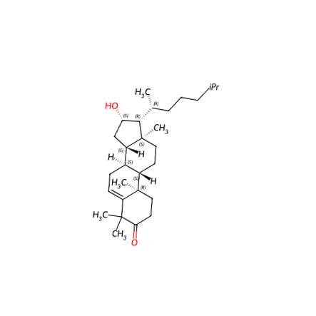 CC(C)CCC[C@@H](C)[C@H]1[C@@H](O)C[C@H]2[C@@H]3CC=C4C(C)(C)C(=O)CC[C@]4(C)[C@H]3CC[C@]12C